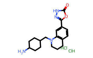 Cl.Cl.NC1CCC(CN2CCCc3ccc(-c4n[nH]c(=O)o4)cc32)CC1